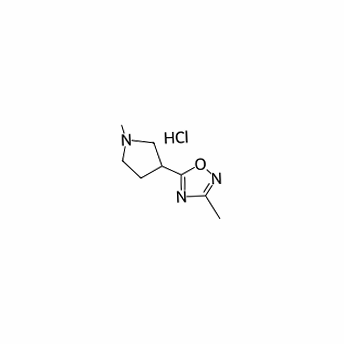 Cc1noc(C2CCN(C)C2)n1.Cl